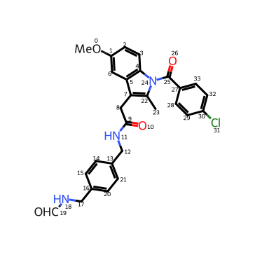 COc1ccc2c(c1)c(CC(=O)NCc1ccc(CNC=O)cc1)c(C)n2C(=O)c1ccc(Cl)cc1